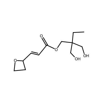 CCC(CO)(CO)COC(=O)C=CC1CCO1